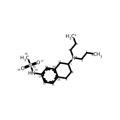 CCCN(CCC)C1CCc2ccc(NS(C)(=O)=O)cc2C1